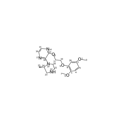 COc1ccc(OC)c(OCCOc2nccnc2N2CCNC[C@H]2C)c1